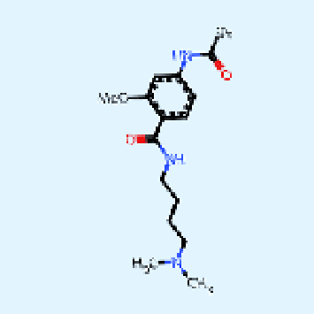 COc1cc(NC(=O)C(C)C)ccc1C(=O)NCCCCN(C)C